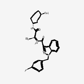 CC(C)(C)[C@H](NC(=O)c1nn(Cc2ccc(F)cc2)c2ccccc12)C(=O)N[C@@H]1CC[C@@H](O)C1